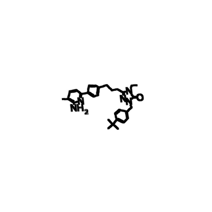 CCn1c(CCCc2ccc(-c3ccc(C)c(N)n3)cc2)nn(Cc2ccc(C(C)(C)C)cc2)c1=O